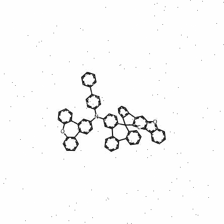 c1ccc(-c2ccc(N(c3ccc4c(c3)-c3ccccc3Oc3ccccc3-4)c3ccc4c(c3)-c3ccccc3-c3ccccc3C43c4ccccc4-c4cc5oc6ccccc6c5cc43)cc2)cc1